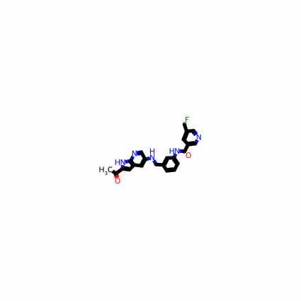 CC(=O)c1cc2cc(NCc3cccc(NC(=O)c4cncc(CF)c4)c3)cnc2[nH]1